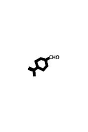 C=C(C)C1CCC(C=O)CC1